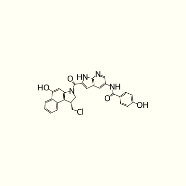 O=C(Nc1cnc2[nH]c(C(=O)N3C[C@@H](CCl)c4c3cc(O)c3ccccc43)cc2c1)c1ccc(O)cc1